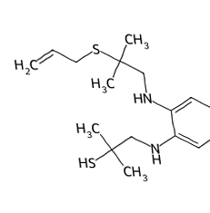 C=CCSC(C)(C)CNc1ccccc1NCC(C)(C)S